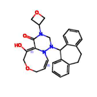 O=C1/C2=C(\O)COC/C=C\N2N(C2c3ccccc3CCc3ccccc32)CN1C1COC1